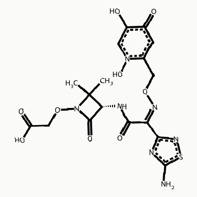 CC1(C)[C@H](NC(=O)/C(=N\OCc2cc(=O)c(O)cn2O)c2nsc(N)n2)C(=O)N1OCC(=O)O